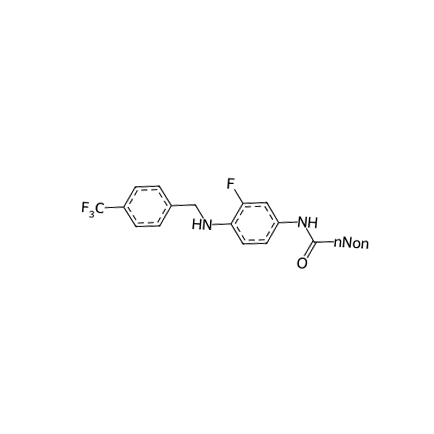 CCCCCCCCCC(=O)Nc1ccc(NCc2ccc(C(F)(F)F)cc2)c(F)c1